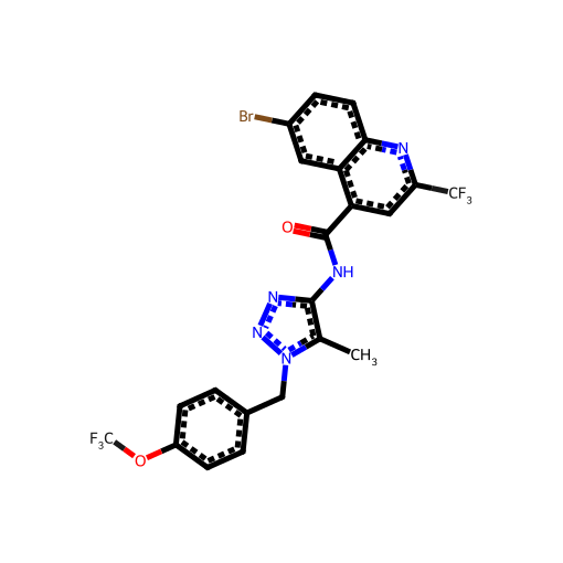 Cc1c(NC(=O)c2cc(C(F)(F)F)nc3ccc(Br)cc23)nnn1Cc1ccc(OC(F)(F)F)cc1